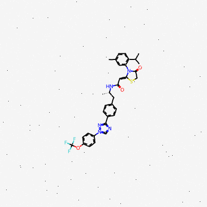 Cc1ccc(C(C)C)c(N2C(=O)CS/C2=C\C(=O)N[C@@H](C)Cc2ccc(-c3ncn(-c4ccc(OC(F)(F)F)cc4)n3)cc2)c1